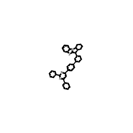 c1ccc(-c2cc(-c3ccc(-c4cccc(-c5c6ccccc6n6c5sc5ccccc56)c4)cc3)nc(-c3ccccc3)n2)cc1